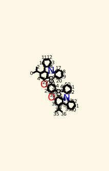 CC(C)c1cc2c3c4c1c1ccccc1n4-c1ccccc1B3c1cc3c(cc1O2)Oc1cc(C(C)C)c2c4ccccc4n4c2c1B3c1ccccc1-4